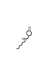 CCCCCCNCC1CCNCC1